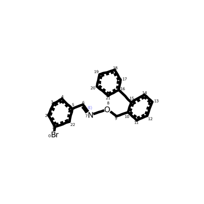 Brc1cccc(/[C]=N/OCc2ccccc2-c2ccccc2)c1